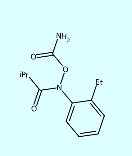 CCc1ccccc1N(OC(N)=O)C(=O)C(C)C